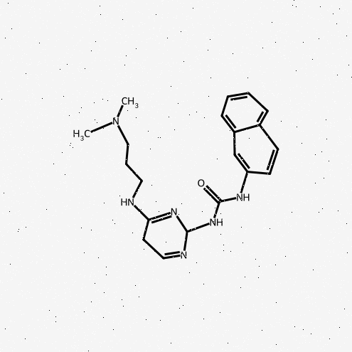 CN(C)CCCNC1=NC(NC(=O)Nc2ccc3ccccc3c2)N=CC1